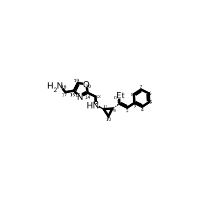 CC/C(=C\c1ccccc1)[C@@H]1C[C@H]1NCc1nc(CN)co1